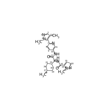 Cc1cnn(C)c1-c1ccc(NC(=O)[C@@H](NC(=O)c2ccnn2C)C2CCC(C)CC2)cn1